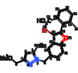 CCCCc1cc(COC)nn1Cc1ccc2oc(-c3c(C)cccc3C(=O)O)c(Br)c2c1